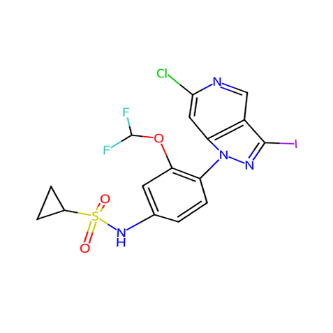 O=S(=O)(Nc1ccc(-n2nc(I)c3cnc(Cl)cc32)c(OC(F)F)c1)C1CC1